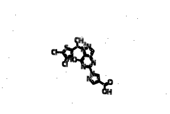 CC(c1cc(Cl)c(Cl)s1)n1ncc2nc(-n3cc(C(=O)O)cn3)nc(O)c21